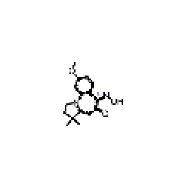 COc1ccc2/c(=N/O)c(=O)cc3n(c2c1)CCC3(C)C